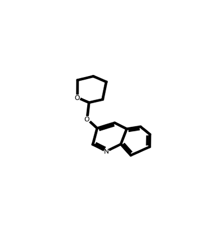 c1ccc2ncc(OC3CCCCO3)cc2c1